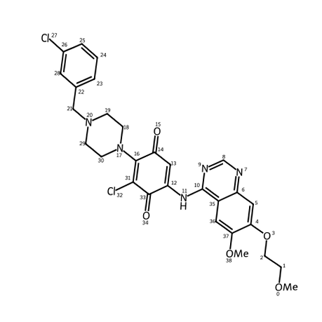 COCCOc1cc2ncnc(NC3=CC(=O)C(N4CCN(Cc5cccc(Cl)c5)CC4)=C(Cl)C3=O)c2cc1OC